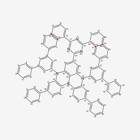 c1ccc(-c2cc(-c3ccccc3)cc(N3c4cc(-c5ccccc5)ccc4B4c5ccc(-c6ccccc6)cc5N(c5cc(-c6ccccc6)cc(-c6ccccc6)c5)c5cc(-c6nc(-c7ccccc7)nc(-c7ccccc7)n6)cc3c54)c2)cc1